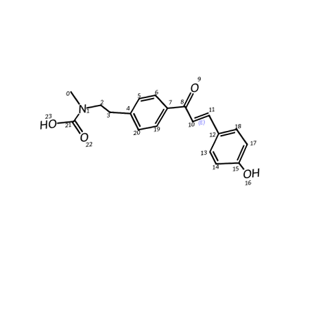 CN(CCc1ccc(C(=O)/C=C/c2ccc(O)cc2)cc1)C(=O)O